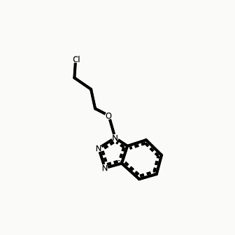 ClCCCOn1nnc2ccccc21